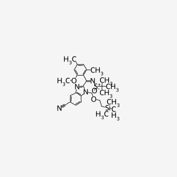 COc1cc(C)cc(C)c1/C(=N/[S+]([O-])C(C)(C)C)c1nc2cc(C#N)ccc2n1COCC[Si](C)(C)C